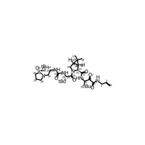 C=CCNC(=O)C(=O)C(CCCC)NC(=O)[C@@H]1[C@@H]2[C@H](CN1C(=O)[C@@H](NC(=O)N[C@H](CN1CCCS1(=O)=O)C(C)(C)C)C(C)(C)C)C2(C)C